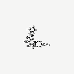 COC1CCN2CN(CC1)N1C=C(C(=O)NCc3c(F)cc(F)cc3F)C(O)C(O)=C1C2=O